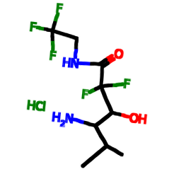 CC(C)C(N)C(O)C(F)(F)C(=O)NCC(F)(F)F.Cl